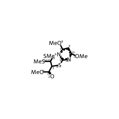 COC(=O)C(Sc1nc(OC)cc(OC)n1)C(SC)SC